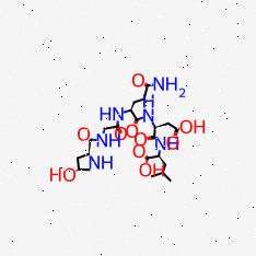 CC(C)C[C@H](NC(=O)[C@H](CC(=O)O)NC(=O)[C@H](CCC(N)=O)NC(=O)CNC(=O)[C@@H]1C[C@@H](O)CN1)C(=O)O